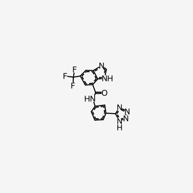 O=C(Nc1cccc(-c2nnn[nH]2)c1)c1cc(C(F)(F)F)cc2nc[nH]c12